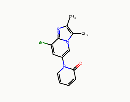 Cc1nc2c(Br)cc(-n3ccccc3=O)cn2c1C